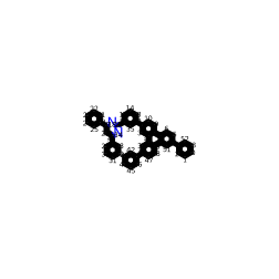 c1ccc(-c2ccc3c4ccc(-c5cccc(-c6nc(-c7ccccc7)cc(-c7ccccc7)n6)c5)cc4c4cc(-c5ccccc5)ccc4c3c2)cc1